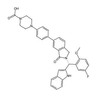 COc1ccc(F)cc1[C@H](c1cc2ccccc2[nH]1)N1Cc2ccc(-c3ccc(N4CCN(C(=O)O)CC4)cc3)cc2C1=O